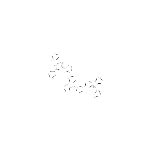 C1=NC(c2ccc3c(c2)c2ccccc2n3-c2cccc(-c3ccc4c5ccccc5n(-c5ccccc5)c4c3)c2)=CC(c2nc(-c3ccccc3)nc(-c3ccccc3)n2)C1